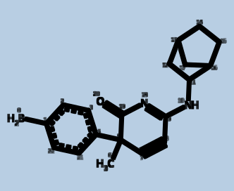 Bc1ccc(C2(C)C#CC(NC3CC4CCC3C4)=NC2=O)cc1